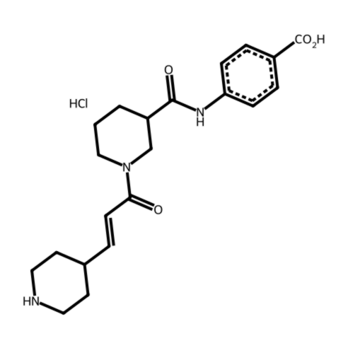 Cl.O=C(O)c1ccc(NC(=O)C2CCCN(C(=O)C=CC3CCNCC3)C2)cc1